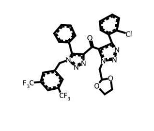 O=C(c1nnn(Cc2cc(C(F)(F)F)cc(C(F)(F)F)c2)c1-c1ccccc1)c1c(-c2ccccc2Cl)nnn1CC1OCCO1